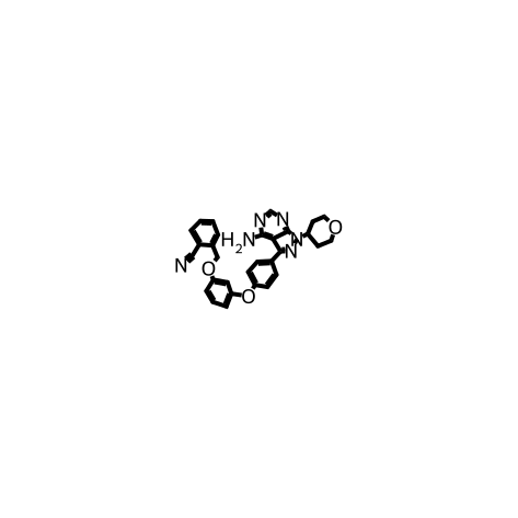 N#Cc1ccccc1COc1cccc(Oc2ccc(-c3nn(C4CCOCC4)c4ncnc(N)c34)cc2)c1